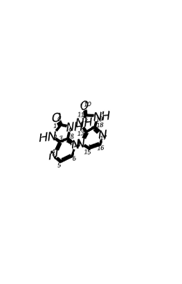 O=c1[nH]c2nccnc2[nH]1.O=c1[nH]c2nccnc2[nH]1